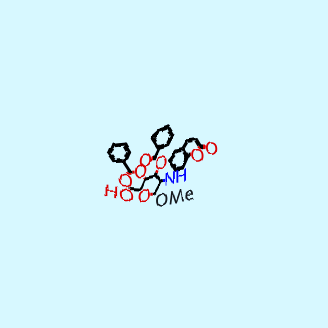 CO[C@H]1OC(CO)[C@@H](OC(=O)c2ccccc2)C(OC(=O)c2ccccc2)C1Nc1ccc2ccc(=O)oc2c1